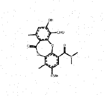 COc1cc(C(=O)N(C)C)c2c(c1C)OC(=O)c1c(C)cc(O)c(C=O)c1O2